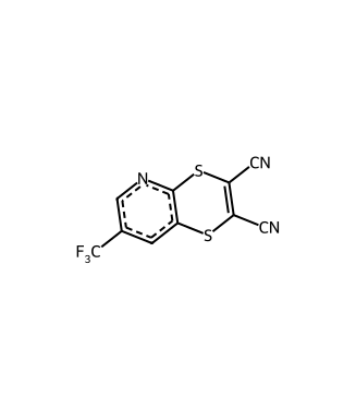 N#CC1=C(C#N)Sc2ncc(C(F)(F)F)cc2S1